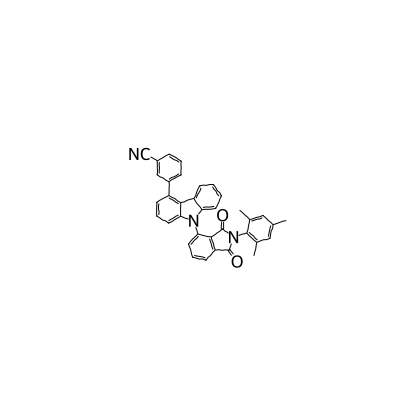 Cc1cc(C)c(N2C(=O)c3cccc(-n4c5ccccc5c5c(-c6cccc(C#N)c6)cccc54)c3C2=O)c(C)c1